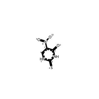 O=c1[nH]c(=S)[nH]cc1[N+](=O)[O-]